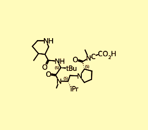 CC1CCNCC1C(=O)N[C@H](C(=O)N(C)[C@H](CN1CCC[C@H]1C(=O)N(C)CC(=O)O)C(C)C)C(C)(C)C